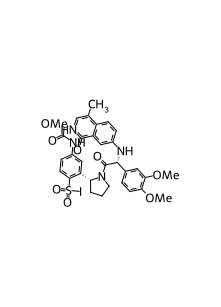 COC(=O)Nc1ccc(S(=O)(=O)I)c([C@H]2CCCN2C(=O)[C@H](Nc2ccc3c(C)c[nH]c(=O)c3c2)c2ccc(OC)c(OC)c2)c1